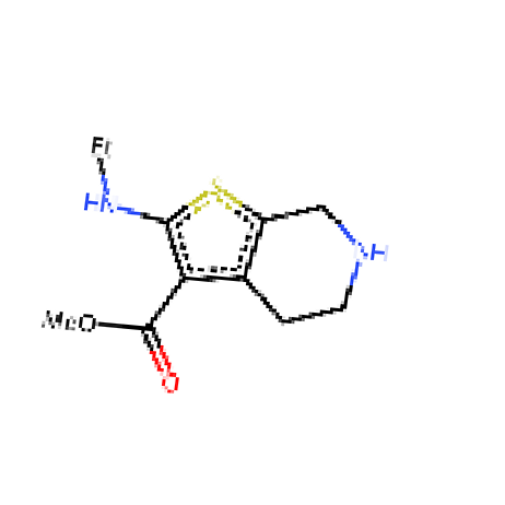 CCNc1sc2c(c1C(=O)OC)CCNC2